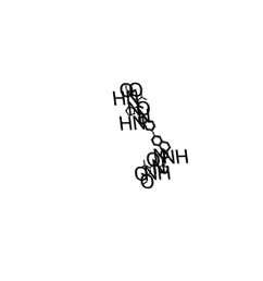 COC(=O)N[C@H](C(=O)N1[C@@H](C)CC[C@H]1c1nc2ccc(-c3ccc4c(ccc5[nH]c([C@@H]6CC[C@H](C)N6C(=O)[C@@H](NC(=O)OC)C(C)C)nc54)c3)cc2[nH]1)C(C)C